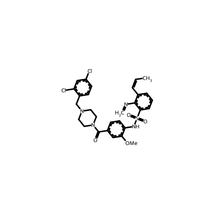 C=Nc1c(/C=C\C)cccc1S(=O)(=O)Nc1ccc(C(=O)N2CCN(Cc3ccc(Cl)cc3Cl)CC2)cc1OC